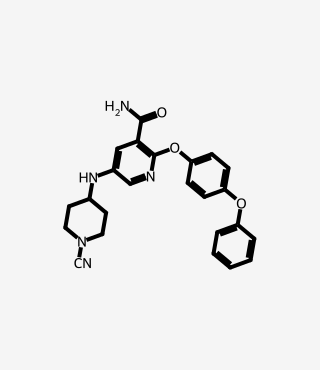 N#CN1CCC(Nc2cnc(Oc3ccc(Oc4ccccc4)cc3)c(C(N)=O)c2)CC1